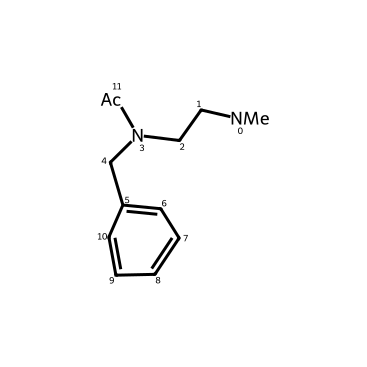 CNCCN(Cc1ccccc1)C(C)=O